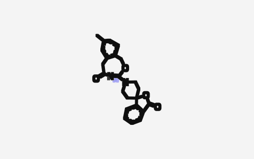 Cc1ccc2c(c1)CC(=O)/N=C(/N1CCC3(CC1)OC(=O)c1ccccc13)OC2